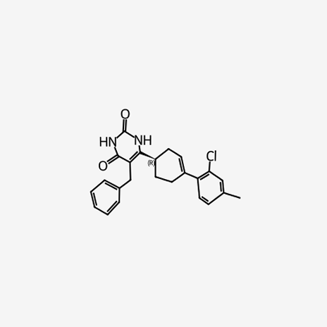 Cc1ccc(C2=CC[C@H](c3[nH]c(=O)[nH]c(=O)c3Cc3ccccc3)CC2)c(Cl)c1